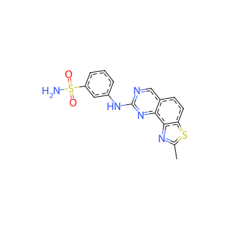 Cc1nc2c(ccc3cnc(Nc4cccc(S(N)(=O)=O)c4)nc32)s1